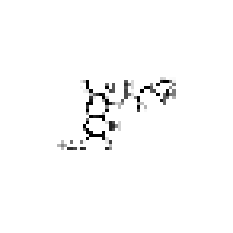 O=C(Cn1cnnn1)NCc1c(Cl)c(Cl)cc2cc(C(=O)O)c(=O)[nH]c12